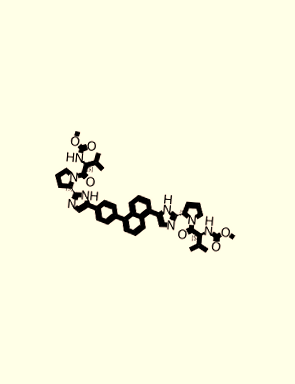 COC(=O)N[C@H](C(=O)N1CC=C[C@H]1c1ncc(-c2cccc3c(-c4ccc(-c5cnc([C@@H]6CCCN6C(=O)[C@@H](NC(=O)OC)C(C)C)[nH]5)cc4)cccc23)[nH]1)C(C)C